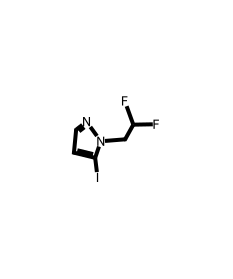 FC(F)Cn1nccc1I